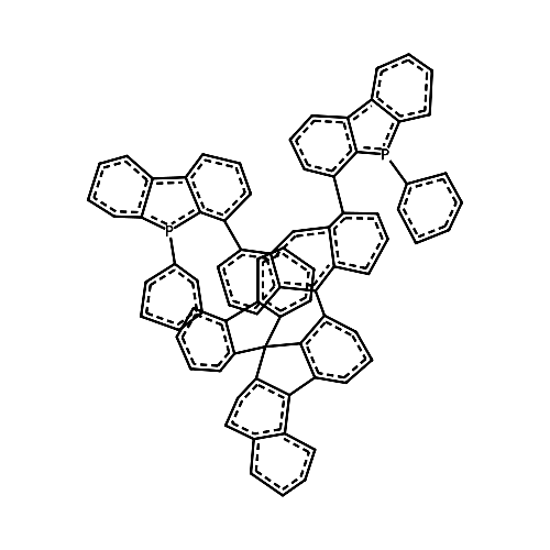 c1ccc(-p2c3ccccc3c3cccc(-c4cccc5c(-c6cccc7c6C6(c8ccccc8-c8ccccc86)c6ccc8ccccc8c6-7)c6cccc(-c7cccc8c9ccccc9p(-c9ccccc9)c78)c6cc45)c32)cc1